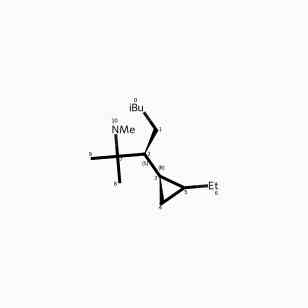 CCC(C)C[C@@H]([C@@H]1CC1CC)C(C)(C)NC